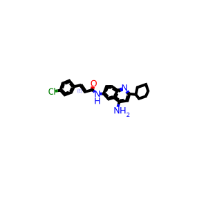 Nc1cc(C2CCCCC2)nc2ccc(NC(=O)/C=C/c3ccc(Cl)cc3)cc12